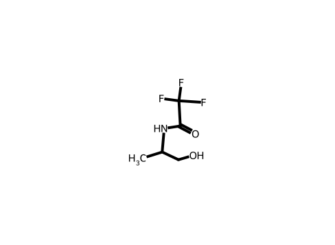 CC(CO)NC(=O)C(F)(F)F